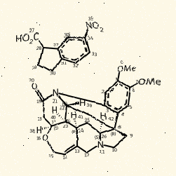 COc1cc2c(cc1OC)[C@@]13CCN4CC5=CCO[C@H]6CC(=O)N2[C@H]1[C@H]6[C@H]5C[C@H]43.O=C(O)C1CCc2ccc([N+](=O)[O-])cc21